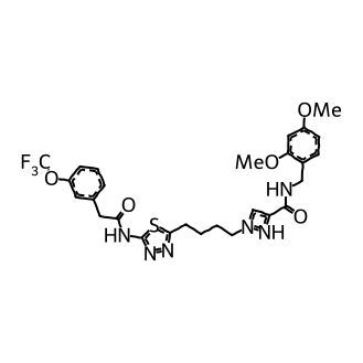 COc1ccc(CNC(=O)c2cn(CCCCc3nnc(NC(=O)Cc4cccc(OC(F)(F)F)c4)s3)[nH]2)c(OC)c1